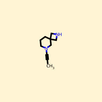 CC#CN1CCCC2(CNC2)C1